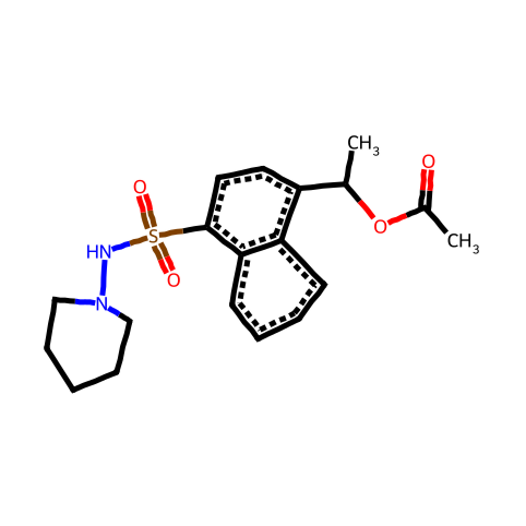 CC(=O)OC(C)c1ccc(S(=O)(=O)NN2CCCCC2)c2ccccc12